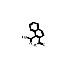 O=C(O)c1ccc2ccccc2c1C(=O)O.[Zn]